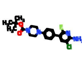 CC(C)(C)OC(=O)N1CCN(c2ccc(-c3cc(Cl)c(N)nc3F)cc2)CC1